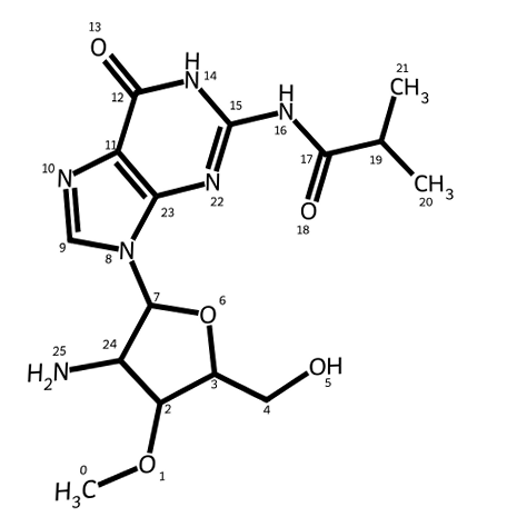 COC1C(CO)OC(n2cnc3c(=O)[nH]c(NC(=O)C(C)C)nc32)C1N